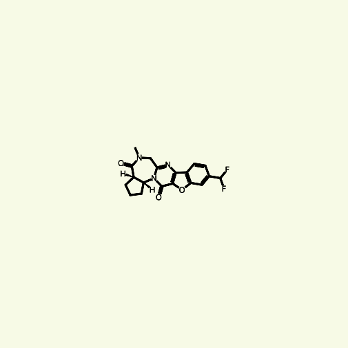 CN1Cc2nc3c(oc4cc(C(F)F)ccc43)c(=O)n2[C@@H]2CCC[C@@H]2C1=O